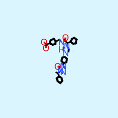 COC(=O)c1ccc(CNC(=O)C(c2ccccc2)N2CCN(c3ccc(-n4cnn(C(C)c5ccccc5)c4=O)cc3)CC2)cc1